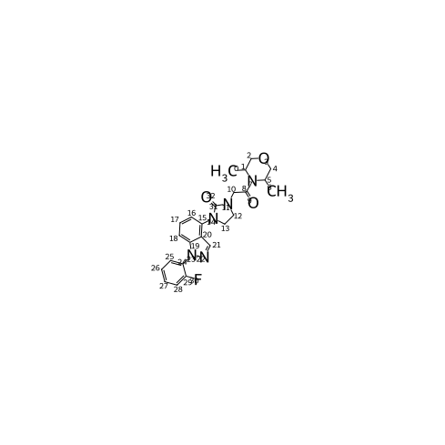 CC1COCC(C)N1C(=O)CN1CCN(c2cccc3c2cnn3-c2ccccc2F)C1=O